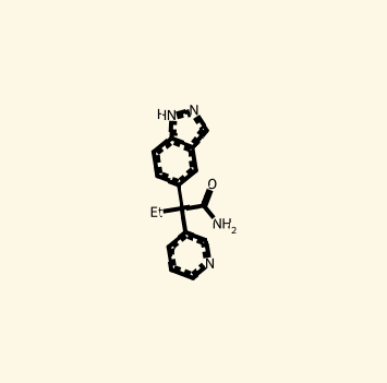 CCC(C(N)=O)(c1cccnc1)c1ccc2[nH]ncc2c1